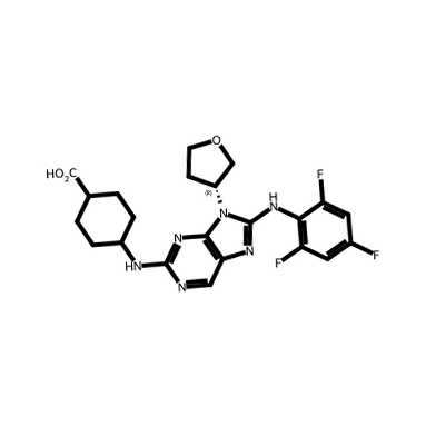 O=C(O)C1CCC(Nc2ncc3nc(Nc4c(F)cc(F)cc4F)n([C@@H]4CCOC4)c3n2)CC1